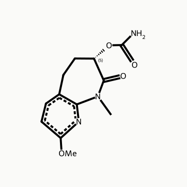 COc1ccc2c(n1)N(C)C(=O)[C@@H](OC(N)=O)CC2